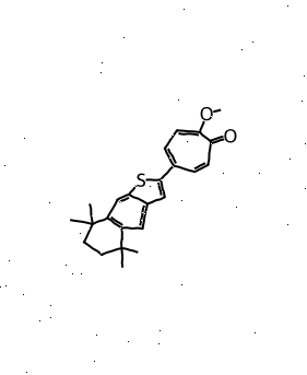 COc1ccc(-c2cc3cc4c(cc3s2)C(C)(C)CCC4(C)C)ccc1=O